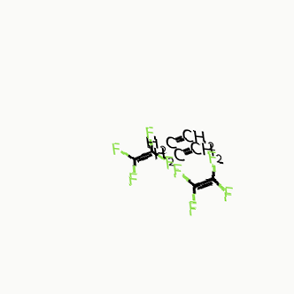 C=C.C=C.FC(F)=C(F)F.FC(F)=C(F)F